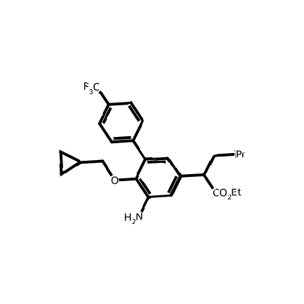 CCOC(=O)C(CC(C)C)c1cc(N)c(OCC2CC2)c(-c2ccc(C(F)(F)F)cc2)c1